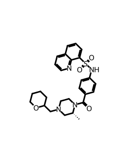 C[C@@H]1CN(CC2CCCCO2)CCN1C(=O)c1ccc(NS(=O)(=O)c2cccc3cccnc23)cc1